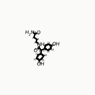 NC(=O)CCCNC(=O)C(c1ccc(O)cc1)c1ccc(O)cc1